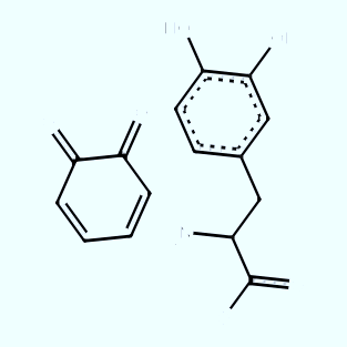 NC(Cc1ccc(O)c(O)c1)C(=O)O.O=C1C=CC=CC1=O